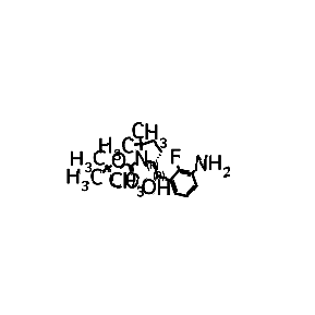 CC(C)(C)OC(=O)N1[C@@H]([C@H](O)c2cccc(N)c2F)CCC1(C)C